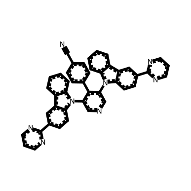 N#Cc1ccc(-c2c(-n3c4ccccc4c4cc(-c5ncccn5)ccc43)cncc2-n2c3ccccc3c3cc(-c4ncccn4)ccc32)cc1